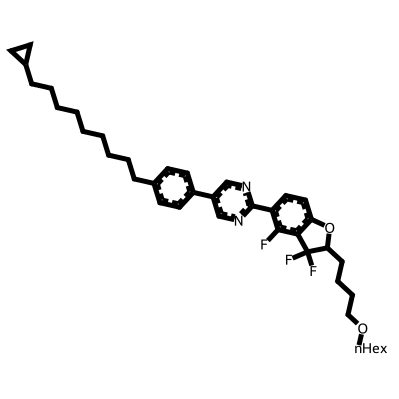 CCCCCCOCCCCC1Oc2ccc(-c3ncc(-c4ccc(CCCCCCCCCC5CC5)cc4)cn3)c(F)c2C1(F)F